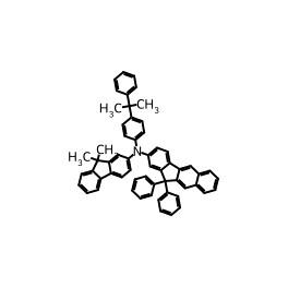 CC(C)(c1ccccc1)c1ccc(N(c2ccc3c(c2)C(C)(C)c2ccccc2-3)c2ccc3c(c2)C(c2ccccc2)(c2ccccc2)c2cc4ccccc4cc2-3)cc1